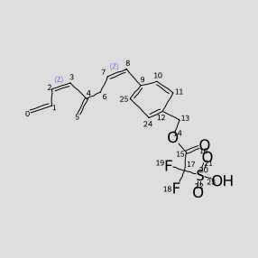 C=C/C=C\C(=C)C/C=C\c1ccc(COC(=O)C(F)(F)S(=O)(=O)O)cc1